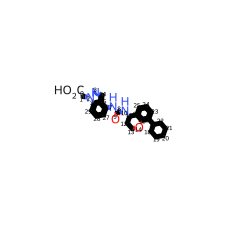 O=C(O)Cn1ncc2c(NC(=O)NC3CCOc4c(C5CCCCC5)cccc43)cccc21